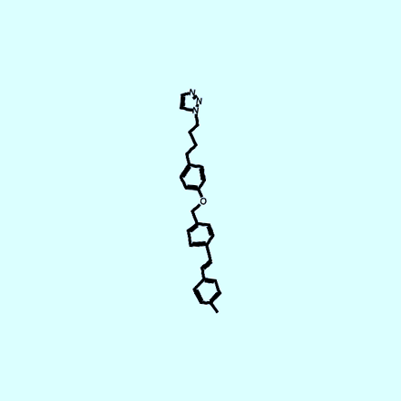 Cc1ccc(/C=C/c2ccc(COc3ccc(CCCCn4ccnn4)cc3)cc2)cc1